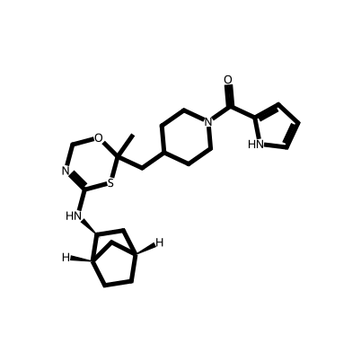 CC1(CC2CCN(C(=O)c3ccc[nH]3)CC2)OCN=C(N[C@H]2C[C@@H]3CC[C@H]2C3)S1